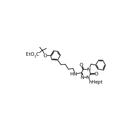 CCCCCCCn1nc(NCCCCc2cccc(OC(C)(C)C(=O)OCC)c2)c(=O)n(Cc2ccccc2)c1=O